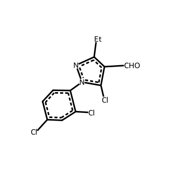 CCc1nn(-c2ccc(Cl)cc2Cl)c(Cl)c1C=O